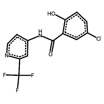 O=C(Nc1ccnc(C(F)(F)F)c1)c1cc(Cl)ccc1O